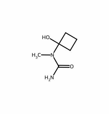 CN(C(N)=O)C1(O)CCC1